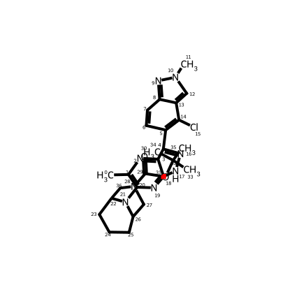 Cc1nc2c(-c3ccc4nn(C)cc4c3Cl)n[nH]c2nc1N1C2CCCC1CN(C(=O)OC(C)(C)C)C2